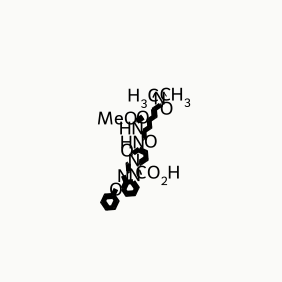 COC(=O)NC(CCC=CC(=O)N(C)C)C(=O)Nc1cccn(Cc2nc3c(Oc4ccccc4)cccc3n2C(=O)O)c1=O